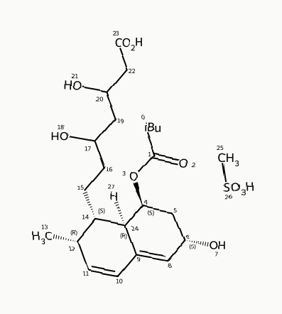 CCC(C)C(=O)O[C@H]1C[C@H](O)C=C2C=C[C@H](C)[C@H](CCC(O)CC(O)CC(=O)O)[C@H]21.CS(=O)(=O)O